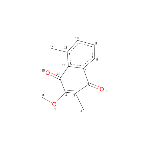 COC1=C(C)C(=O)c2cccc(C)c2C1=O